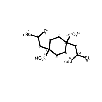 CCCCC(CC)CC1(C(=O)O)CCC(CC(CC)CCCC)(C(=O)O)CC1